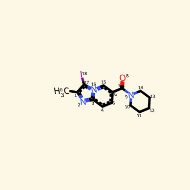 Cc1nc2ccc(C(=O)N3CCCCC3)cn2c1I